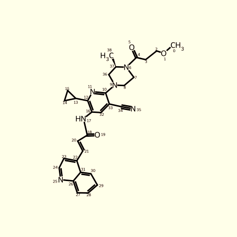 COCCC(=O)N1CCN(c2nc(C3CC3)c(NC(=O)C=Cc3ccnc4ccccc34)cc2C#N)C[C@H]1C